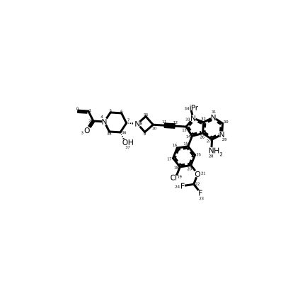 C=CC(=O)N1CC[C@H](N2CC(C#Cc3c(-c4ccc(Cl)c(OC(F)F)c4)c4c(N)ncnc4n3C(C)C)C2)[C@H](O)C1